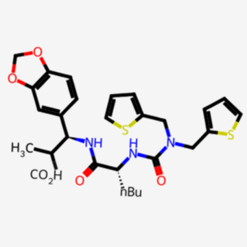 CCCC[C@@H](NC(=O)N(Cc1cccs1)Cc1cccs1)C(=O)N[C@H](c1ccc2c(c1)OCO2)C(C)C(=O)O